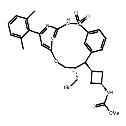 COC(=O)N[C@H]1C[C@@H](C2c3cccc(c3)S(=O)(=O)Nc3nc(cc(-c4c(C)cccc4C)n3)OC[C@H]2CC(C)(C)C)C1